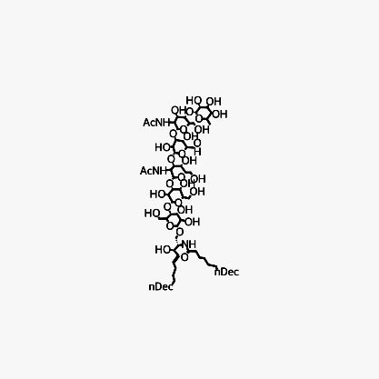 CCCCCCCCCCCCC/C=C/[C@@H](O)[C@H](CO[C@@H]1OC(CO)[C@@H](O[C@@H]2OC(CO)[C@H](O)[C@H](O[C@@H]3OC(CO)[C@@H](O)[C@H](O[C@@H]4OC(CO)[C@H](O)[C@H](O[C@@H]5OC(CO)[C@@H](O[C@H]6OC(C)[C@@H](O)C(O)[C@@H]6O)[C@H](O)C5NC(C)=O)C4O)C3NC(C)=O)C2O)[C@H](O)C1O)NC(=O)CCCCCCCCCCCCCCC